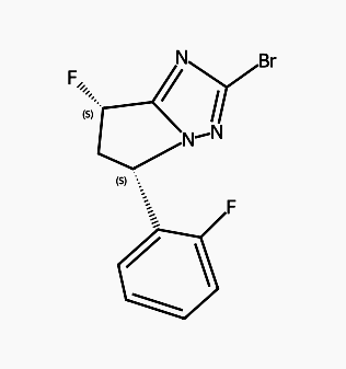 Fc1ccccc1[C@@H]1C[C@H](F)c2nc(Br)nn21